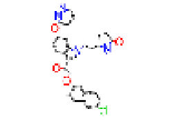 Cc1cc2cc(Cl)ccc2cc1OCC(=O)c1cn(CCC2CCC(=O)N2C)c2cc(Oc3cccnn3)ccc12